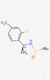 C[C@H](N[S+]([O-])C(C)(C)C)c1ccc(C(F)(F)F)cc1F